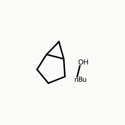 C1CC2CC2C1.CCCCO